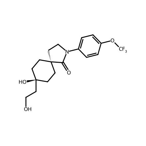 O=C1N(c2ccc(OC(F)(F)F)cc2)CC[C@]12CC[C@@](O)(CCO)CC2